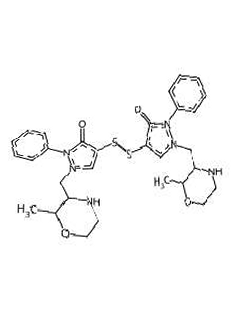 CC1OCCNC1Cn1cc(SSc2cn(CC3NCCOC3C)n(-c3ccccc3)c2=O)c(=O)n1-c1ccccc1